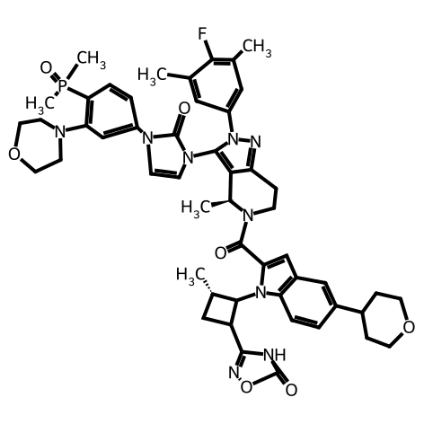 Cc1cc(-n2nc3c(c2-n2ccn(-c4ccc(P(C)(C)=O)c(N5CCOCC5)c4)c2=O)[C@H](C)N(C(=O)c2cc4cc(C5CCOCC5)ccc4n2C2C(c4noc(=O)[nH]4)C[C@@H]2C)CC3)cc(C)c1F